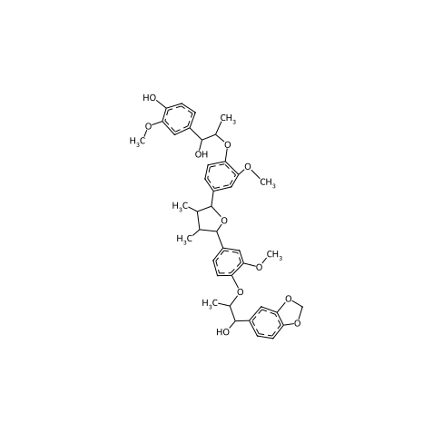 COc1cc(C(O)C(C)Oc2ccc(C3OC(c4ccc(OC(C)C(O)c5ccc6c(c5)OCO6)c(OC)c4)C(C)C3C)cc2OC)ccc1O